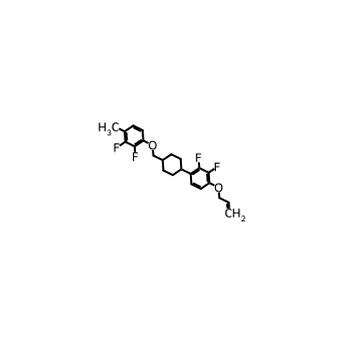 C=CCOc1ccc(C2CCC(COc3ccc(C)c(F)c3F)CC2)c(F)c1F